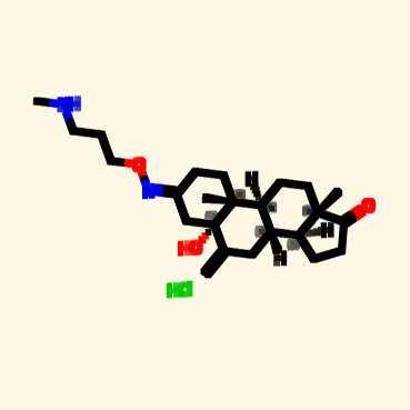 C=C1C[C@H]2[C@@H]3CCC(=O)[C@@]3(C)CC[C@@H]2[C@@]2(C)CCC(=NOCCCNC)C[C@]12O.Cl